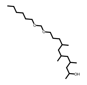 CCCCCCOCOCCCC(C)CC(C)CC(C)CC(C)O